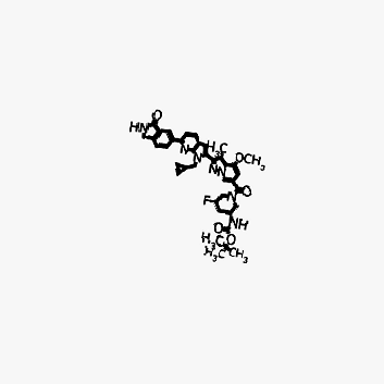 COc1cc(C(=O)N2C[C@H](F)C[C@@H](NC(=O)OC(C)(C)C)C2)cn2nc(-c3cc4ccc(-c5ccc6c(c5)C(=O)NC6)nc4n3CC3CC3)c(C)c12